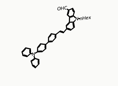 CCCCCCn1c2ccc(C=O)cc2c2cc(C=Cc3ccc(-c4ccc(N(c5ccccc5)c5ccccc5)cc4)cc3)ccc21